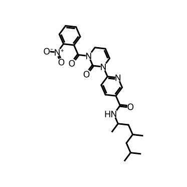 CC(C)CC(C)CC(C)NC(=O)c1ccc(N2C=CCN(C(=O)c3ccccc3[N+](=O)[O-])C2=O)nc1